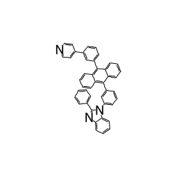 c1ccc(-c2nc3ccccc3n2-c2cccc(-c3c4ccccc4c(-c4cccc(-c5ccncc5)c4)c4ccccc34)c2)cc1